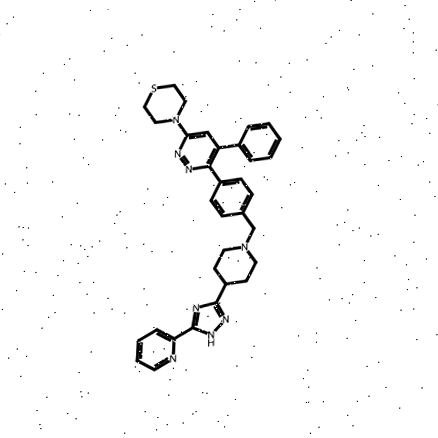 c1ccc(-c2cc(N3CCSCC3)nnc2-c2ccc(CN3CCC(c4n[nH]c(-c5ccccn5)n4)CC3)cc2)cc1